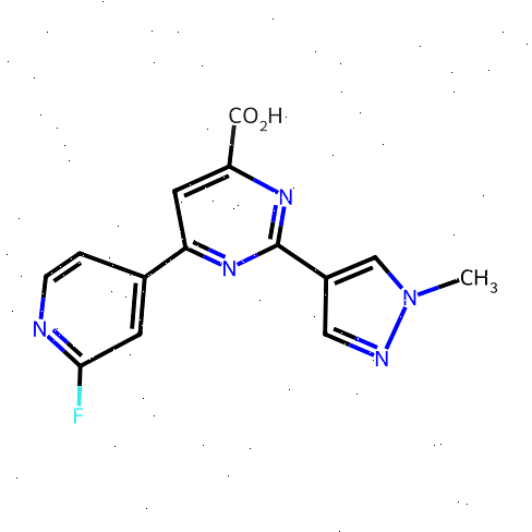 Cn1cc(-c2nc(C(=O)O)cc(-c3ccnc(F)c3)n2)cn1